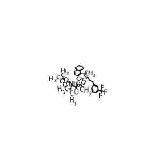 CC(OC(=O)C(NC(=O)OC(C)(C)C)C(C)C)OC(=O)N(CCCc1cccc(C(F)(F)F)c1)[C@H](C)c1cccc2ccccc12